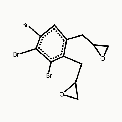 Brc1cc(CC2CO2)c(CC2CO2)c(Br)c1Br